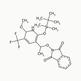 COC1NC(O[Si](C)(C)C(C)(C)C)=C(C(C)ON2C(=O)c3ccccc3C2=O)C=C1C(F)(F)F